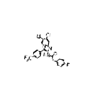 O=C(Cc1ccc(F)cc1)Nc1nc2cc(Cl)c(Cl)cn2c1-c1ccc(C(F)(F)F)cc1